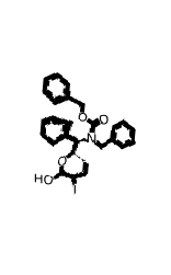 O=C(OCc1ccccc1)N(Cc1ccccc1)[C@H](c1ccccc1)[C@@H]1CCC(I)C(O)O1